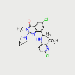 C[C@@H](Nc1ccc(Cl)nc1C(=O)O)c1cc(Cl)cc2c(=O)n(C)c(N3CC4CC4C3)nc12